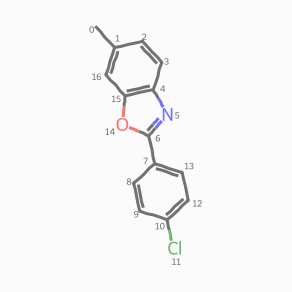 Cc1ccc2nc(-c3ccc(Cl)cc3)oc2c1